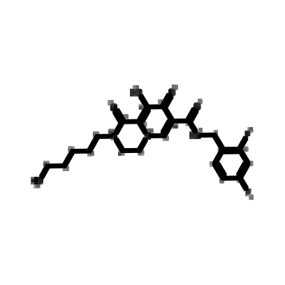 O=C(NCc1ccc(F)cc1F)c1cn2c(c(O)c1=O)C(=O)N(CCCCCO)CC2